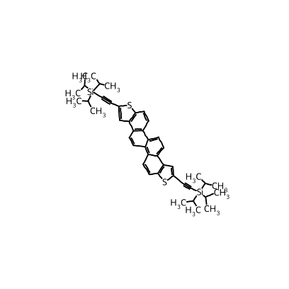 CC(C)[Si](C#Cc1cc2c(ccc3c2ccc2c4ccc5sc(C#C[Si](C(C)C)(C(C)C)C(C)C)cc5c4ccc32)s1)(C(C)C)C(C)C